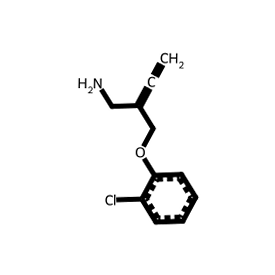 C=C=C(CN)COc1ccccc1Cl